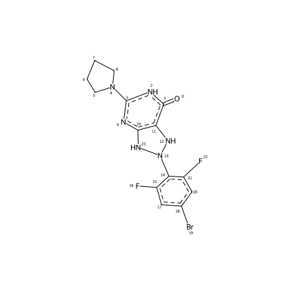 O=c1[nH]c(N2CCCC2)nc2c1NN(c1c(F)cc(Br)cc1F)N2